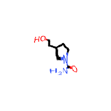 NC(=O)N1CCC(CCO)C1